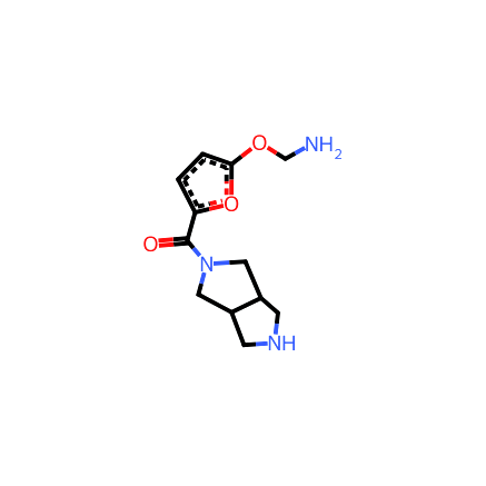 NCOc1ccc(C(=O)N2CC3CNCC3C2)o1